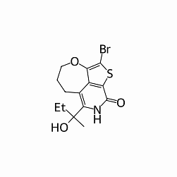 CCC(C)(O)c1[nH]c(=O)c2sc(Br)c3c2c1CCCO3